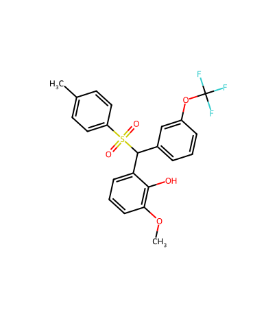 COc1cccc(C(c2cccc(OC(F)(F)F)c2)S(=O)(=O)c2ccc(C)cc2)c1O